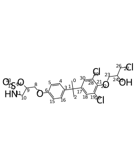 CC(C)(c1ccc(OCC2CNS(=O)O2)cc1)c1cc(Cl)c(OCC(O)CCl)c(Cl)c1